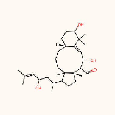 CC(C)=CC(O)C[C@@H](C)C1CC[C@@]2(C)C(C=O)C(O)/C=C3\[C@H](CCCC12C)CCC(O)C3(C)C